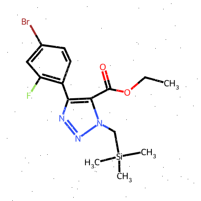 CCOC(=O)c1c(-c2ccc(Br)cc2F)nnn1C[Si](C)(C)C